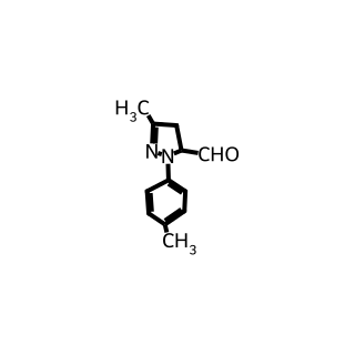 CC1=NN(c2ccc(C)cc2)C(C=O)C1